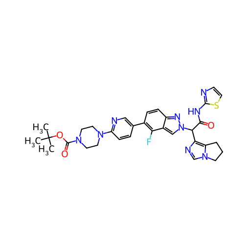 CC(C)(C)OC(=O)N1CCN(c2ccc(-c3ccc4nn(C(C(=O)Nc5nccs5)c5ncn6c5CCC6)cc4c3F)cn2)CC1